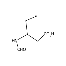 O=CNC(CF)CC(=O)O